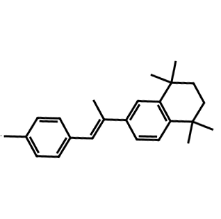 [CH2]c1ccc(C=C(C)c2ccc3c(c2)C(C)(C)CCC3(C)C)cc1